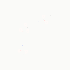 CC(C)(C)OC(=O)N1CCC(C(=O)OC(=O)C2CCN(C(=O)OC(C)(C)C)CC2)CC1